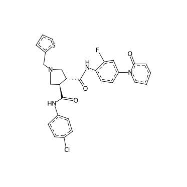 O=C(Nc1ccc(Cl)cc1)[C@H]1CN(Cc2cccs2)C[C@@H]1C(=O)Nc1ccc(-n2ccccc2=O)cc1F